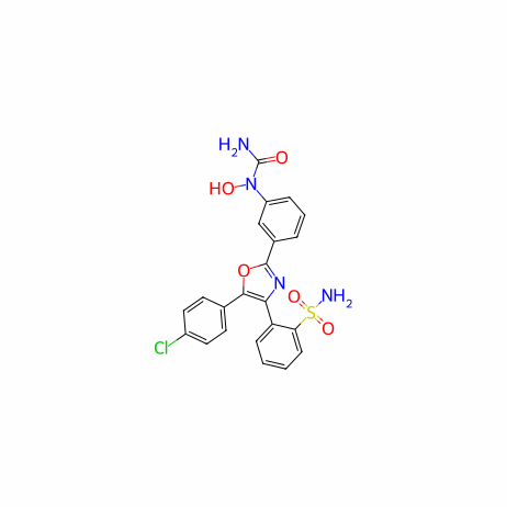 NC(=O)N(O)c1cccc(-c2nc(-c3ccccc3S(N)(=O)=O)c(-c3ccc(Cl)cc3)o2)c1